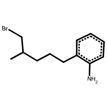 CC(CBr)CCCc1ccccc1N